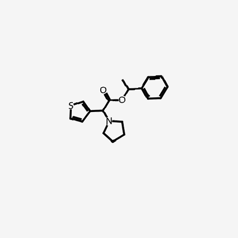 CC(OC(=O)C(c1ccsc1)N1CCCC1)c1ccccc1